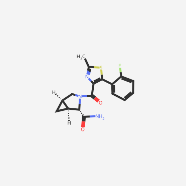 Cc1nc(C(=O)N2C[C@@H]3C[C@@H]3[C@H]2C(N)=O)c(-c2ccccc2F)s1